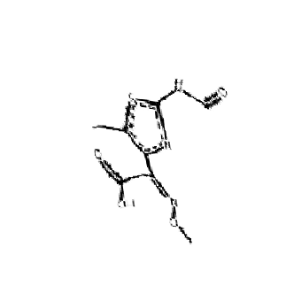 CON=C(C(=O)O)c1nc(NC=O)sc1C